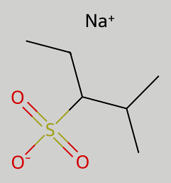 CCC(C(C)C)S(=O)(=O)[O-].[Na+]